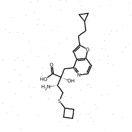 N[C@@H](CSC1CCC1)[C@](O)(Cc1nccc2oc(CCC3CC3)cc12)C(=O)O